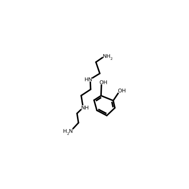 NCCNCCNCCN.Oc1ccccc1O